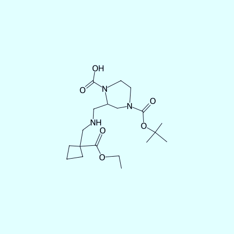 CCOC(=O)C1(CNCC2CN(C(=O)OC(C)(C)C)CCN2C(=O)O)CCC1